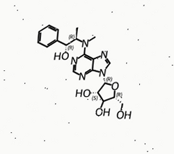 C[C@H]([C@H](O)c1ccccc1)N(C)c1ncnc2c1ncn2[C@@H]1O[C@H](CO)C(O)[C@@H]1O